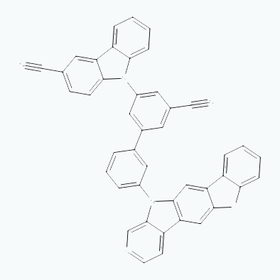 N#Cc1cc(-c2cccc(-n3c4cnccc4c4cc5sc6ccccc6c5cc43)c2)cc(-n2c3ccccc3c3cc(C#N)ccc32)c1